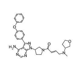 CN(CC=CC(=O)N1CCC(n2nc(-c3ccc(Oc4ccccc4)cc3)c3c(N)ncnc32)C1)C1CCOC1